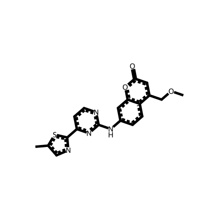 COCc1cc(=O)oc2cc(Nc3nccc(-c4ncc(C)s4)n3)ccc12